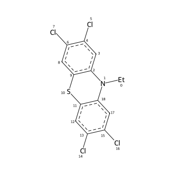 CCN1c2cc(Cl)c(Cl)cc2Sc2cc(Cl)c(Cl)cc21